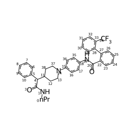 CCCNC(=O)C(c1ccccc1)C1CCN(c2ccc(NC(=O)c3ccccc3-c3ccccc3C(F)(F)F)cc2)CC1